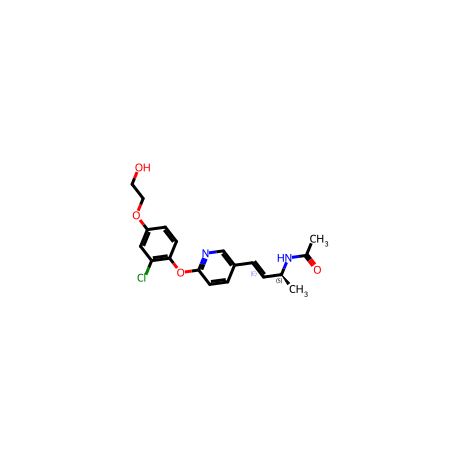 CC(=O)N[C@@H](C)/C=C/c1ccc(Oc2ccc(OCCO)cc2Cl)nc1